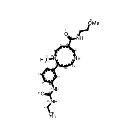 COCCNC(=O)c1ccn(C)c(-c2cccc(NC(=O)NCC(F)(F)F)c2)ccnc1